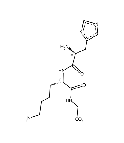 NCCCC[C@H](NC(=O)[C@@H](N)Cc1c[nH]cn1)C(=O)NCC(=O)O